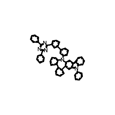 c1ccc(-c2nc(-c3ccccc3)nc(-c3cccc(-c4cccc(N5c6ccccc6-c6ccccc6-c6cc7c(cc65)c5ccccc5n7-c5ccccc5)c4)c3)n2)cc1